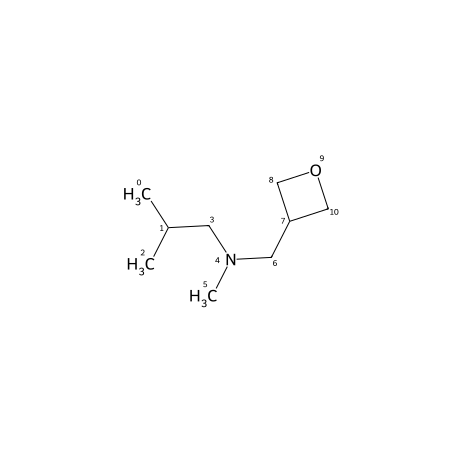 CC(C)CN(C)CC1COC1